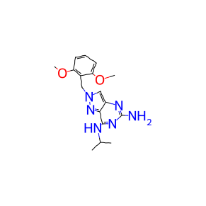 COc1cccc(OC)c1Cn1cc2nc(N)nc(NC(C)C)c2n1